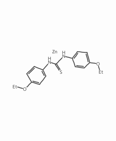 CCOc1ccc(NC(=S)Nc2ccc(OCC)cc2)cc1.[Zn]